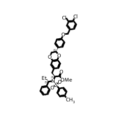 CC[C@@H](c1ccccc1)N([C@@H](Cc1ccc2c(c1)OC[C@H](c1ccc(OCc3ccc(Cl)c(Cl)c3)cc1)O2)C(=O)OC)S(=O)(=O)c1ccc(C)cc1